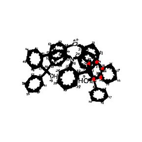 OC(c1ccccc1)(c1ccccc1)c1ccccc1-c1ccc2c(c1)N(c1ccccc1-c1ccccc1)c1cc(-c3ccccc3C(O)(c3ccccc3)c3ccccc3)ccc1O2